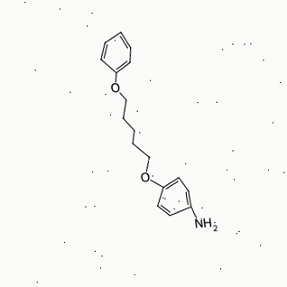 Nc1ccc(OCCCCCOc2ccccc2)cc1